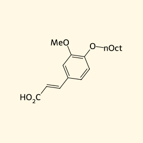 CCCCCCCCOc1ccc(C=CC(=O)O)cc1OC